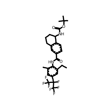 CCc1cc(C(F)(C(F)(F)F)C(F)(F)F)cc(C)c1NC(=O)c1ccc2c(c1)CCCC2NC(=O)OC(C)(C)C